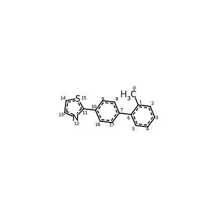 Cc1ccccc1-c1ccc(-c2n[c]cs2)cc1